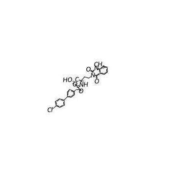 Cn1c(=O)n(CC[C@@H](NS(=O)(=O)c2ccc(-c3ccc(Cl)cc3)cc2)C(=O)O)c(=O)c2ccccc21